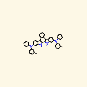 Cc1cccc(N(c2ccccc2)c2ccc3c4c5ccccc5c5c6ccc(N(c7ccccc7)c7cccc(C)c7)cc6n(C)c5c4n(C)c3c2)c1